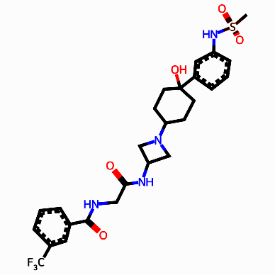 CS(=O)(=O)Nc1cccc(C2(O)CCC(N3CC(NC(=O)CNC(=O)c4cccc(C(F)(F)F)c4)C3)CC2)c1